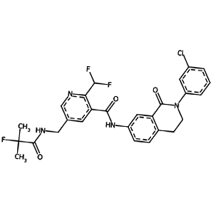 CC(C)(F)C(=O)NCc1cnc(C(F)F)c(C(=O)Nc2ccc3c(c2)C(=O)N(c2cccc(Cl)c2)CC3)c1